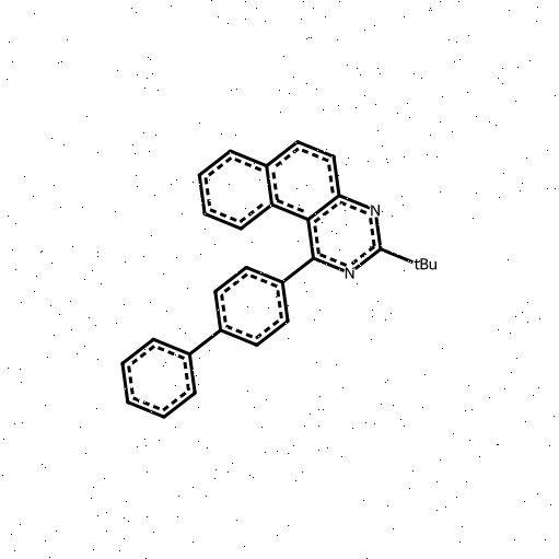 CC(C)(C)c1nc(-c2ccc(-c3ccccc3)cc2)c2c(ccc3ccccc32)n1